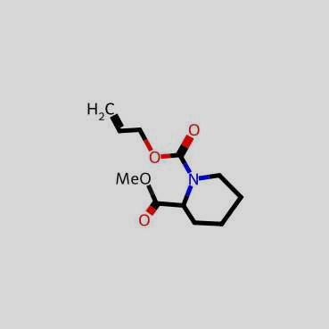 C=CCOC(=O)N1CCCCC1C(=O)OC